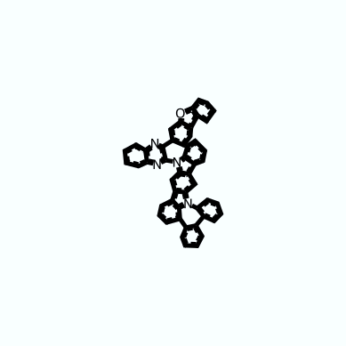 c1ccc2c(c1)-c1ccccc1-n1c3cc4c5ccccc5n(-c5nc6ccccc6nc5-c5ccc6c(c5)oc5ccccc56)c4cc3c3cccc-2c31